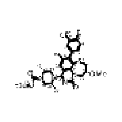 CO[C@@H]1CSc2c(-c3ccc(F)c(Cl)c3)c(C)cc3c(N4C[C@@H](C)N(C(=O)OC(C)(C)C)C[C@@H]4C)nc(=O)n(c23)C1